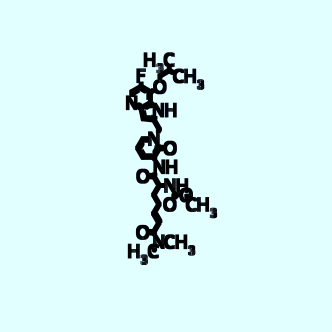 COC(=O)NC(CCC=CC(=O)N(C)C)C(=O)Nc1cccn(Cc2cc3ncc(F)c(OCC(C)C)c3[nH]2)c1=O